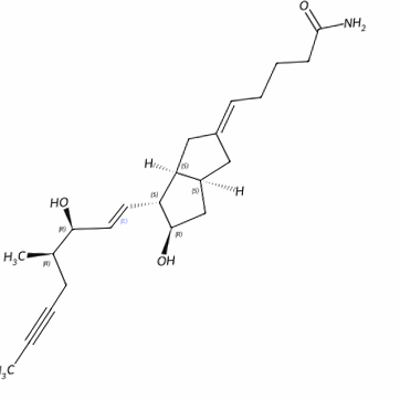 CC#CC[C@@H](C)[C@@H](O)/C=C/[C@@H]1[C@H]2CC(=CCCCC(N)=O)C[C@H]2C[C@H]1O